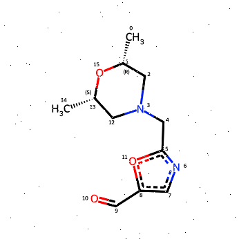 C[C@@H]1CN(Cc2ncc(C=O)o2)C[C@H](C)O1